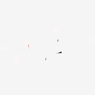 C[C@]12CCC3=CC(=O)C=C[C@]3(C)[C@H]1C(O)C[C@@]1(C)[C@H]2CC[C@]1(O)C(=O)CO